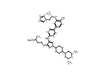 COC(C)CCOc1nn(C2CCC(N3C[C@@H](C)O[C@@H](C)C3)CC2)cc1Nc1ncc(-c2ccc(C#N)c(O[C@@H](C)Cn3cnnn3)c2)cn1